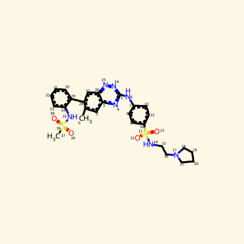 Cc1cc2nc(Nc3ccc(S(=O)(=O)NCCN4CCCC4)cc3)nnc2cc1-c1ccccc1NS(C)(=O)=O